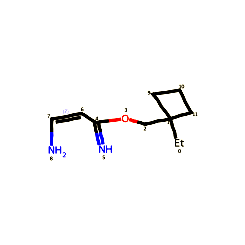 CCC1(COC(=N)/C=C\N)CCC1